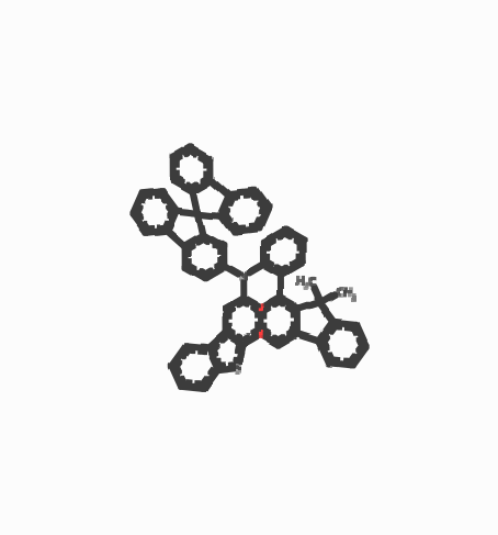 CC1(C)c2ccccc2-c2cccc(-c3ccccc3N(c3ccc4c(c3)C3(c5ccccc5-c5ccccc53)c3ccccc3-4)c3ccc4sc5ccccc5c4c3)c21